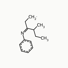 [CH2]CC(=Nc1ccccc1)C(C)CC